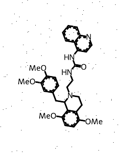 COc1ccc(CC2c3c(OC)ccc(OC)c3CCN2CCNC(=O)Nc2ccnc3ccccc23)cc1OC